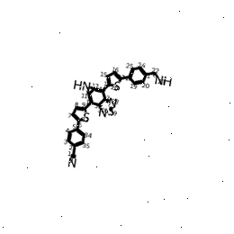 N#Cc1ccc(-c2ccc(-c3c4c(c(-c5ccc(-c6ccc(C=N)cc6)s5)c5nsnc35)N4)s2)cc1